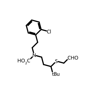 CC(C)(C)C(CCN(CCc1ccccc1Cl)C(=O)O)SCC=O